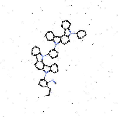 C=Nc1c(/C=C\C)cccc1-n1c2ccccc2c2c1ccc1c3ccccc3n(-c3cccc(-n4c5ccccc5c5c6c7ccccc7n(-c7ccccc7)c6ccc54)c3)c12